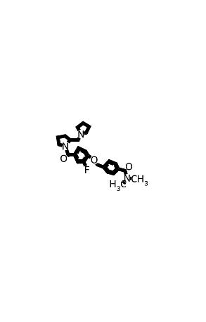 CN(C)C(=O)c1ccc(COc2ccc(C(=O)N3CCCC3CN3CCCC3)cc2F)cc1